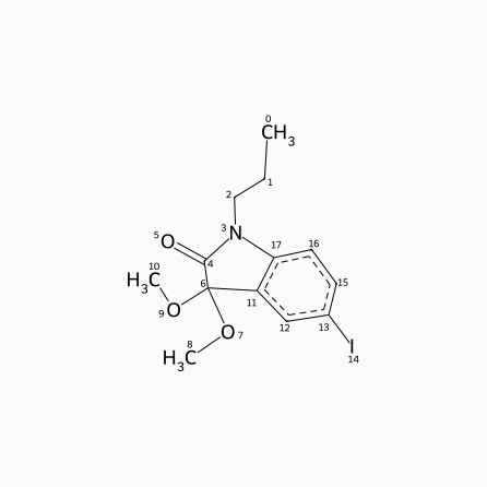 CCCN1C(=O)C(OC)(OC)c2cc(I)ccc21